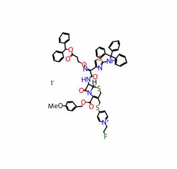 COc1ccc(COC(=O)C2=C(CSc3cc[n+](CCF)cc3)CS[C@H]3C(NC(=O)C(=NOCCC(=O)OC(c4ccccc4)c4ccccc4)c4csc(NC(c5ccccc5)(c5ccccc5)c5ccccc5)n4)C(=O)N23)cc1.[I-]